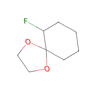 FC1CCCCC12OCCO2